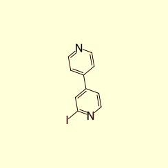 Ic1cc(-c2ccncc2)ccn1